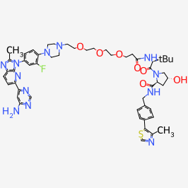 Cc1ncsc1-c1ccc(CNC(=O)[C@@H]2C[C@@H](O)CN2C(=O)[C@@H](NC(=O)CCOCCOCCOCCN2CCN(c3ccc(-n4c(C)nc5ccc(-c6cc(N)ncn6)nc54)cc3F)CC2)C(C)(C)C)cc1